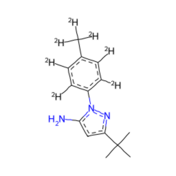 [2H]c1c([2H])c(C([2H])([2H])[2H])c([2H])c([2H])c1-n1nc(C(C)(C)C)cc1N